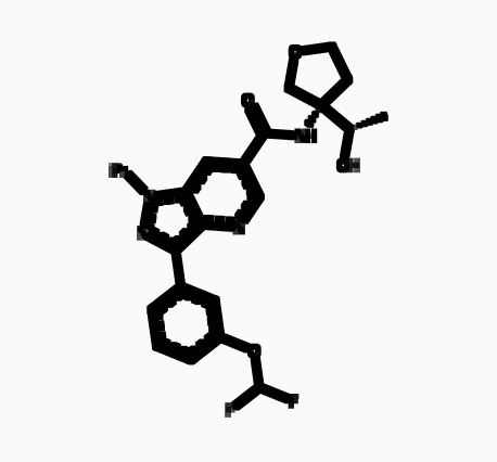 CC(C)n1nc(-c2cccc(OC(F)F)c2)c2ncc(C(=O)N[C@@]3([C@H](C)O)CCOC3)cc21